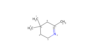 CC1=NCCC(C)(C)C1